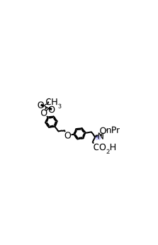 CCCO/N=C(/CC(=O)O)Cc1ccc(OCCc2ccc(OS(C)(=O)=O)cc2)cc1